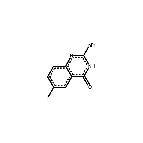 CCCc1nc2ccc(I)cc2c(=O)[nH]1